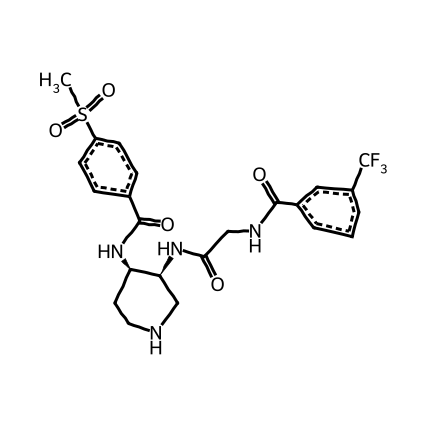 CS(=O)(=O)c1ccc(C(=O)N[C@@H]2CCNC[C@@H]2NC(=O)CNC(=O)c2cccc(C(F)(F)F)c2)cc1